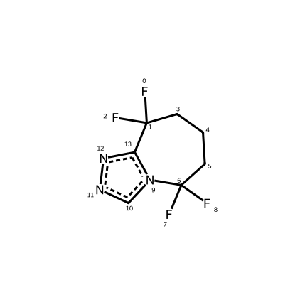 FC1(F)CCCC(F)(F)n2cnnc21